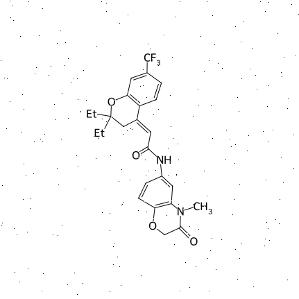 CCC1(CC)C/C(=C\C(=O)Nc2ccc3c(c2)N(C)C(=O)CO3)c2ccc(C(F)(F)F)cc2O1